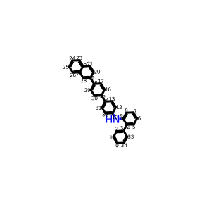 c1ccc(-c2ccccc2Nc2ccc(-c3ccc(-c4ccc5ccccc5c4)cc3)cc2)cc1